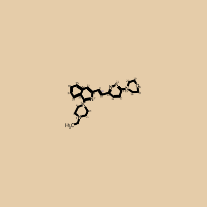 CCN1CCN(c2nc(/C=C/c3ccc(N4CCOCC4)nn3)cc3ccccc23)CC1